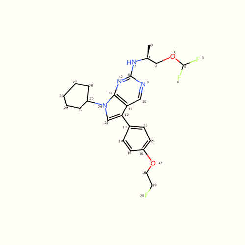 C[C@@H](COC(F)F)Nc1ncc2c(-c3ccc(OCCF)cc3)cn(C3CCCCC3)c2n1